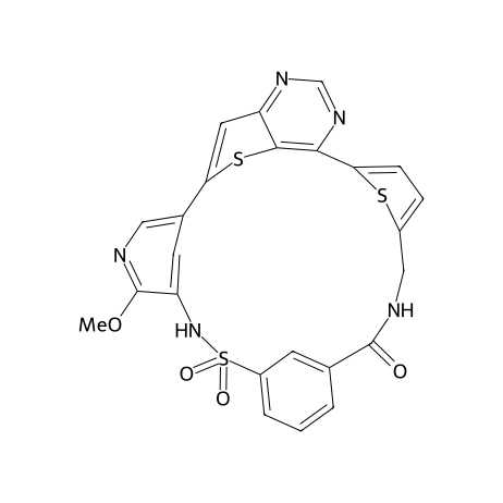 COc1ncc2cc1NS(=O)(=O)c1cccc(c1)C(=O)NCc1ccc(s1)-c1ncnc3cc-2sc13